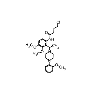 COc1ccccc1N1CCN(C(C)c2c(NC(=O)CCCCl)ccc(OC)c2OC)CC1